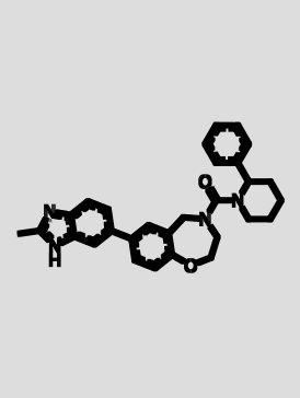 Cc1nc2ccc(-c3ccc4c(c3)CN(C(=O)N3CCCCC3c3ccccc3)CCO4)cc2[nH]1